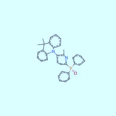 Cc1nc(P(=O)(c2ccccc2)c2ccccc2)ccc1N1c2ccccc2C(C)(C)c2ccccc21